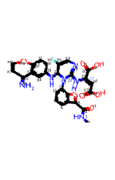 CNC(=O)C1Oc2c1cccc2N1C(N/C(=C\C(=O)O)C(=O)O)=NC=C(F)C1Nc1ccc2c(c1)C(N)CCO2